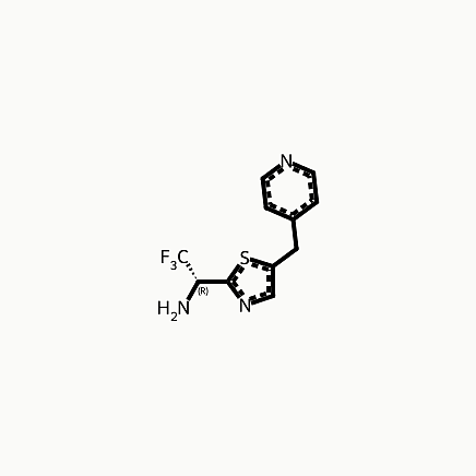 N[C@@H](c1ncc(Cc2ccncc2)s1)C(F)(F)F